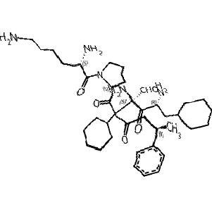 C[C@H](CC(=O)C(C(=O)[C@@H]1CCCN1C(=O)[C@@H](N)CCCCN)(C1CCCCC1)[C@](N)([C]=O)C(=O)[C@H](N)CC1CCCCC1)c1ccccc1